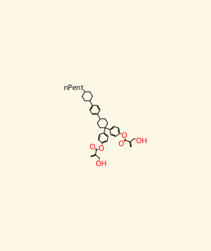 C=C(CO)C(=O)Oc1ccc(C2(c3ccc(OC(=O)C(=C)CO)cc3)CCC(c3ccc(C4CCC(CCCCC)CC4)cc3)CC2)cc1